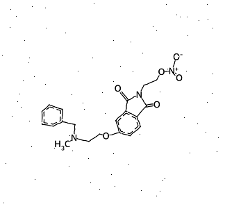 CN(CCOc1ccc2c(c1)C(=O)N(CCO[N+](=O)[O-])C2=O)Cc1ccccc1